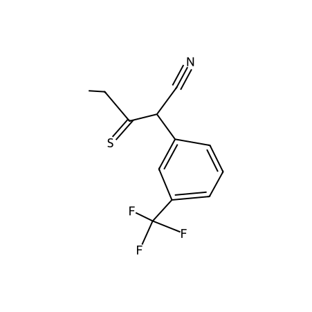 CCC(=S)C(C#N)c1cccc(C(F)(F)F)c1